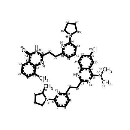 CC1CCCN1c1cccc(CCc2nc(N(C)C)c3cc(Cl)ccc3n2)n1.Cc1cccc2c(=O)[nH]c(CCc3cccc(N4CCCC4)n3)nc12